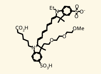 CCN1/C(=C/C=C/C=C/C=C/C2=[N+](CCCCCC(=O)O)c3ccc(S(=O)(=O)O)cc3C2(C)CCOCCOCCOC)C(C)(C)c2cc(S(=O)(=O)[O-])ccc21